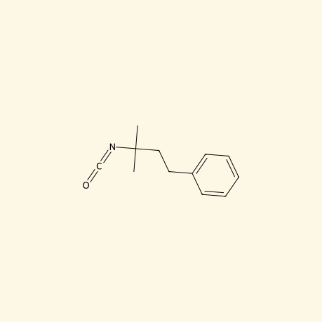 CC(C)(CCc1ccccc1)N=C=O